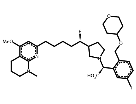 COc1cc(CCCC[C@@H](F)C2CCN([C@H](C(=O)O)c3cc(I)ccc3COC3CCOCC3)C2)nc2c1CCCN2C